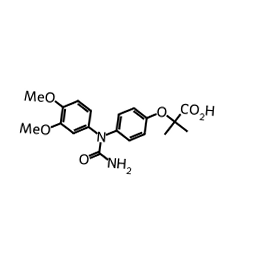 COc1ccc(N(C(N)=O)c2ccc(OC(C)(C)C(=O)O)cc2)cc1OC